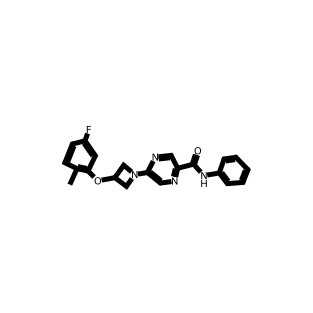 Cc1ccc(F)cc1OC1CN(c2cnc(C(=O)Nc3ccccc3)cn2)C1